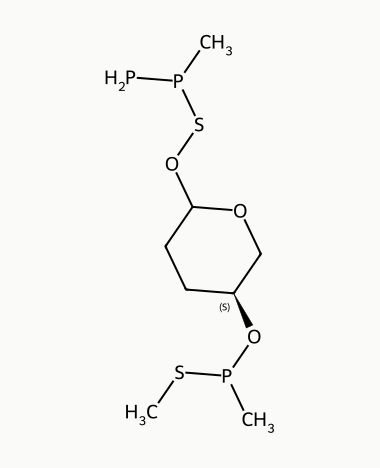 CSP(C)O[C@H]1CCC(OSP(C)P)OC1